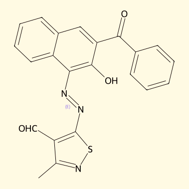 Cc1nsc(/N=N/c2c(O)c(C(=O)c3ccccc3)cc3ccccc23)c1C=O